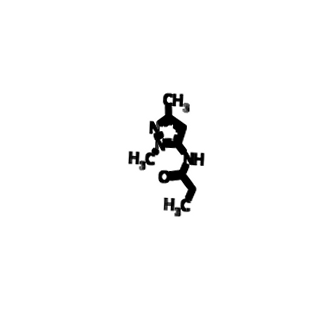 CCC(=O)Nc1cc(C)nn1C